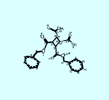 O=C(OCc1ccccc1)C1C(C(=O)OCc2ccccc2)[C@H](C(=O)O)[C@@H]1C(=O)O